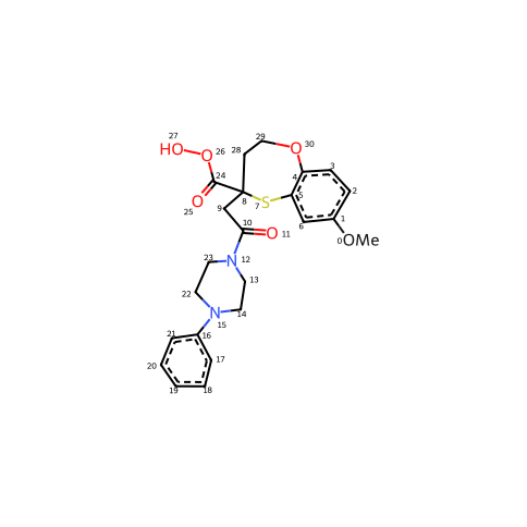 COc1ccc2c(c1)SC(CC(=O)N1CCN(c3ccccc3)CC1)(C(=O)OO)CCO2